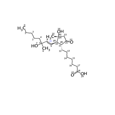 CCCCCC(C)(O)/C=C/[C@@H]1[C@@H](CCCCCCC(=O)O)C(=O)C[C@@]1(C)O